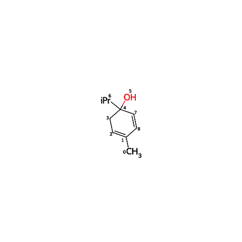 CC1=CCC(O)(C(C)C)C=C1